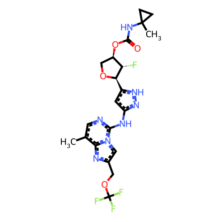 Cc1cnc(Nc2cc([C@H]3OC[C@@H](OC(=O)NC4(C)CC4)[C@@H]3F)[nH]n2)n2cc(COC(F)(F)F)nc12